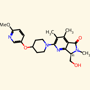 COc1ccc(OC2CCN(c3nc4c(c(C)c3C)C(=O)N(C)[C@H]4CO)CC2)cn1